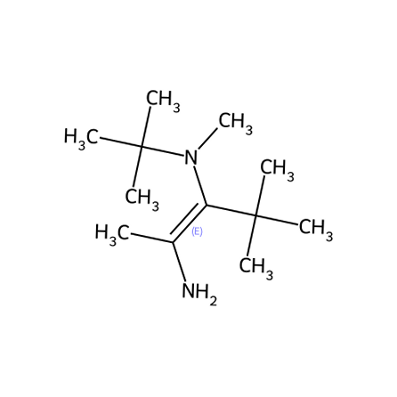 C/C(N)=C(\N(C)C(C)(C)C)C(C)(C)C